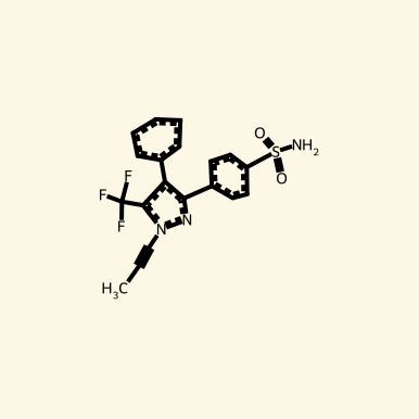 CC#Cn1nc(-c2ccc(S(N)(=O)=O)cc2)c(-c2ccccc2)c1C(F)(F)F